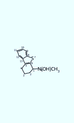 CN(O)C1CCCc2c1sc1ccccc21